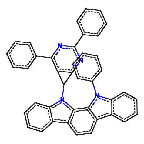 c1ccc(-c2nc(-c3ccccc3)c3c(n2)C3n2c3ccccc3c3ccc4c5ccccc5n(-c5ccccc5)c4c32)cc1